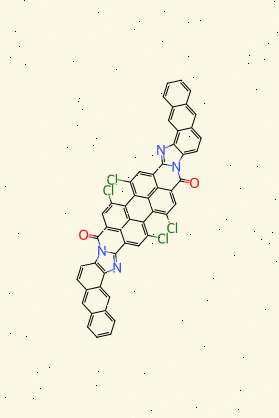 O=c1c2cc(Cl)c3c4c(Cl)cc5c6c(cc(Cl)c(c7c(Cl)cc(c2c37)c2nc3c7cc8ccccc8cc7ccc3n12)c46)c(=O)n1c2ccc3cc4ccccc4cc3c2nc51